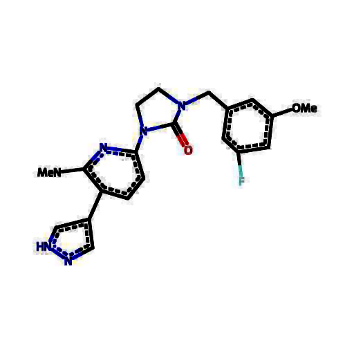 CNc1nc(N2CCN(Cc3cc(F)cc(OC)c3)C2=O)ccc1-c1cn[nH]c1